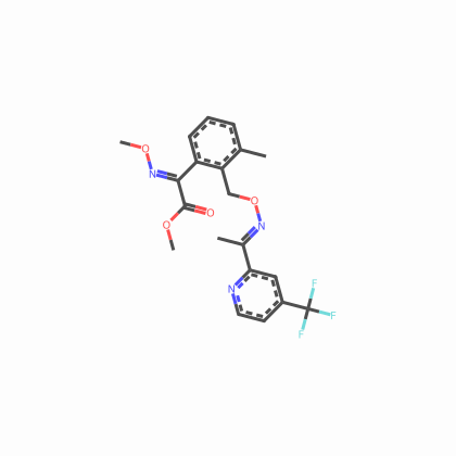 CO/N=C(/C(=O)OC)c1cccc(C)c1CO/N=C(\C)c1cc(C(F)(F)F)ccn1